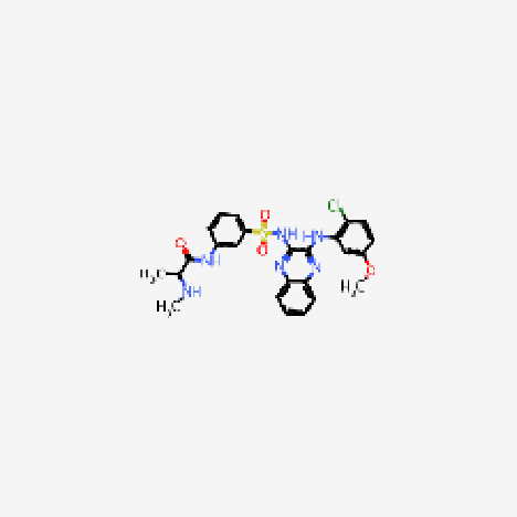 CNC(C)C(=O)Nc1cccc(S(=O)(=O)Nc2nc3ccccc3nc2Nc2cc(OC)ccc2Cl)c1